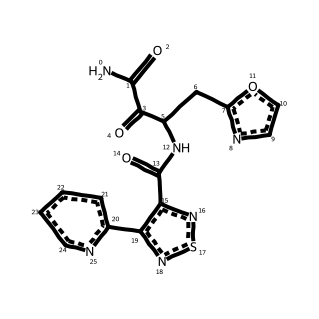 NC(=O)C(=O)C(Cc1ncco1)NC(=O)c1nsnc1-c1ccccn1